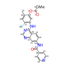 COC(=O)Oc1cc(Nc2ncnc3cc(NC(=O)c4ccncc4)ccc23)c(F)cc1C